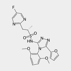 COc1cccc(OC)c1-n1c(NS(=O)(=O)[C@@H](C)Cc2ncc(F)cn2)nnc1-c1ccco1